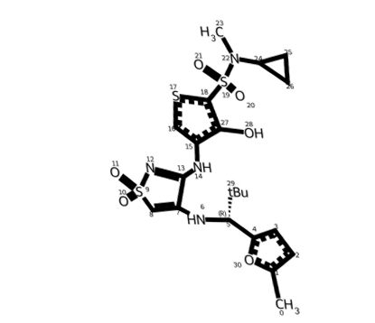 Cc1ccc([C@H](NC2=CS(=O)(=O)N=C2Nc2csc(S(=O)(=O)N(C)C3CC3)c2O)C(C)(C)C)o1